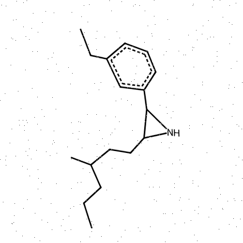 CCCC(C)CCC1NC1c1cccc(CC)c1